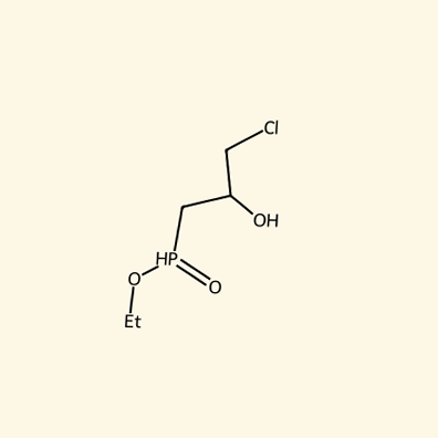 CCO[PH](=O)CC(O)CCl